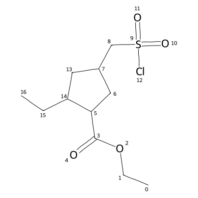 CCOC(=O)C1CC(CS(=O)(=O)Cl)CC1CC